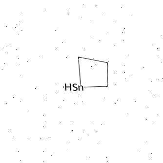 C1[CH2][SnH][CH2]1